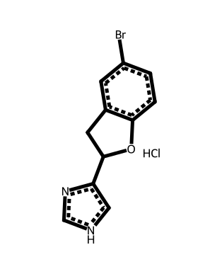 Brc1ccc2c(c1)CC(c1c[nH]cn1)O2.Cl